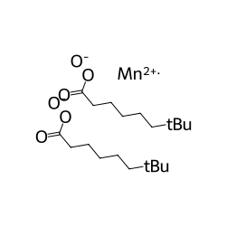 CC(C)(C)CCCCCC(=O)O[O-].CC(C)(C)CCCCCC(=O)O[O-].[Mn+2]